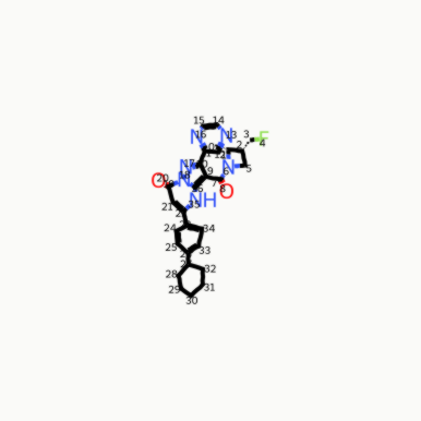 C[C@@H]1[C@H](CF)CN1C(=O)c1c(-c2cnccn2)nn2c(=O)cc(-c3ccc(C4CCCCC4)cc3)[nH]c12